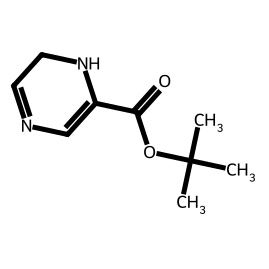 CC(C)(C)OC(=O)C1=CN=CCN1